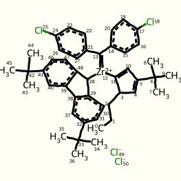 CCCC1C=C(C(C)(C)C)C=[C]1[Zr+2](=[C](c1ccc(Cl)cc1)c1ccc(Cl)cc1)[CH]1c2ccc(C(C)(C)C)cc2-c2cc(C(C)(C)C)ccc21.[Cl-].[Cl-]